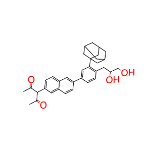 CC(=O)C(C(C)=O)c1ccc2cc(-c3ccc(CC(O)CO)c(C45CC6CC(CC(C6)C4)C5)c3)ccc2c1